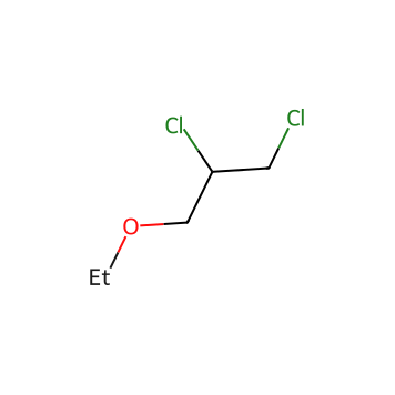 [CH2]COCC(Cl)CCl